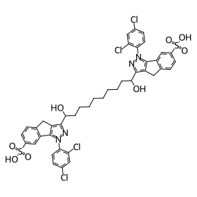 O=S(=O)(O)c1ccc2c(c1)-c1c(c(C(O)CCCCCCCCC(O)c3nn(-c4ccc(Cl)cc4Cl)c4c3Cc3ccc(S(=O)(=O)O)cc3-4)nn1-c1ccc(Cl)cc1Cl)C2